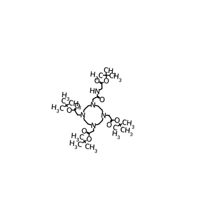 CC(C)(C)OC(=O)CNC(=O)CN1CCN(CC(=O)OC(C)(C)C)CCN(CC(=O)OC(C)(C)C)CCN(CC(=O)OC(C)(C)C)CC1